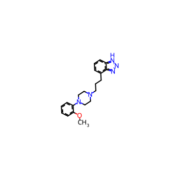 COc1ccccc1N1CCN(CCCc2cccc3[nH]nnc23)CC1